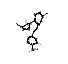 CCCCc1ccc(/C=C/c2cc(F)ccc2-c2ccc(C)s2)cc1